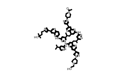 CC(=O)N1CCC(n2cc(-c3cnc4c(CC(C)c5cnnc(Nc6ccc7ncc(-c8cnn(CCC(C)(C)O)c8)cc7n6)c5)cc(Nc5cc(C(C)Cc6cc(Nc7cc(C(C)C)cnn7)nc7cc(-c8cnn(C9CCN(CCO)CC9)c8)cnc67)cnn5)nc4c3)cn2)CC1